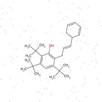 CC(C)(C)c1cc(C(C)(C)C)c(C(C)(C)C)c(O)c1CC=CC1C=CC=CC1